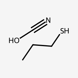 CCCS.N#CO